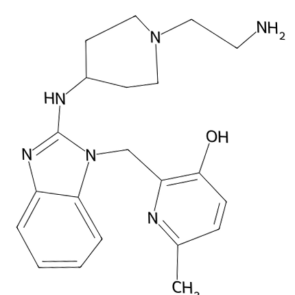 Cc1ccc(O)c(Cn2c(NC3CCN(CCN)CC3)nc3ccccc32)n1